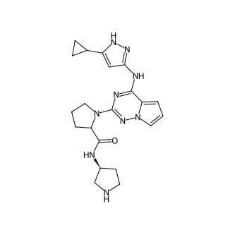 O=C(N[C@H]1CCNC1)C1CCCN1c1nc(Nc2cc(C3CC3)[nH]n2)c2cccn2n1